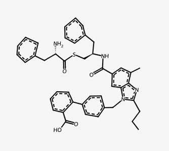 CCCc1nc2c(C)cc(C(=O)N[C@@H](CSC(=O)[C@@H](N)Cc3ccccc3)Cc3ccccc3)cc2n1Cc1ccc(-c2ccccc2C(=O)O)cc1